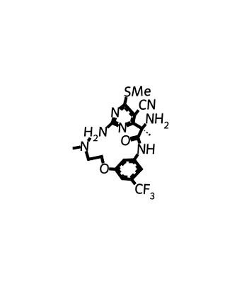 CSc1nc(N)nc([C@@](C)(N)C(=O)Nc2cc(OCCN(C)C)cc(C(F)(F)F)c2)c1C#N